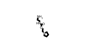 NCCNC(=O)OCCN1CCCC1